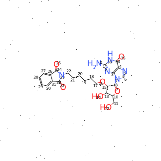 Nc1nc2c(ncn2C2OC(CO)C(O)C2OCCCCCCN2C(=O)c3ccccc3C2=O)c(=O)[nH]1